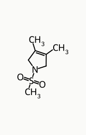 CC1=C(C)CN(S(C)(=O)=O)C1